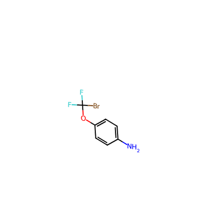 Nc1ccc(OC(F)(F)Br)cc1